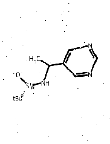 CC(N[S@@+]([O-])C(C)(C)C)c1cncnc1